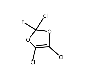 FC1(Cl)OC(Cl)=C(Cl)O1